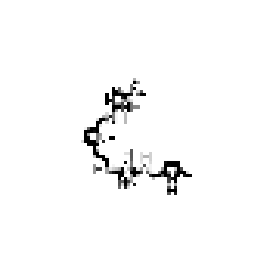 Cc1ccc(CNc2nnc(NCCc3ccc(CNc4nnc(N(C)C)[nH]4)[nH]3)[nH]2)[nH]1